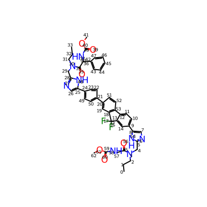 CCCN(Cc1ncc(-c2ccc3c(c2)C(F)(F)c2cc(-c4ccc(-c5cnc(CN(CCC)C(=O)[C@H](NC(=O)OC)c6ccccc6)[nH]5)cc4)ccc2-3)[nH]1)C(=O)CNC(=O)OC